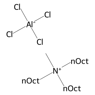 CCCCCCCC[N+](C)(CCCCCCCC)CCCCCCCC.[Cl][Al-]([Cl])([Cl])[Cl]